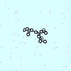 c1ccc(-c2cccc3c2oc2cc(N(c4ccc(-c5ccc6c7ccc8ccccc8c7n(-c7ccccc7)c6c5)cc4)c4ccc5oc6ccccc6c5c4)ccc23)cc1